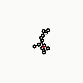 c1ccc(-c2ccc(N(c3ccc(-c4ccccc4-n4c5ccccc5c5ccccc54)cc3)c3ccc4c(ccc5cc(-c6cccc7c6oc6ccccc67)ccc54)c3)cc2)cc1